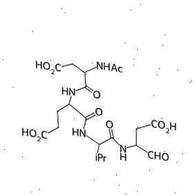 CC(=O)NC(CC(=O)O)C(=O)NC(CCC(=O)O)C(=O)NC(C(=O)NC(C=O)CC(=O)O)C(C)C